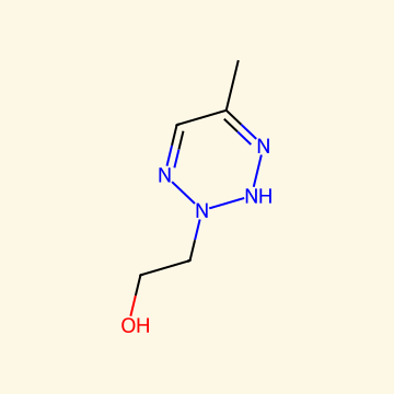 CC1=NNN(CCO)N=C1